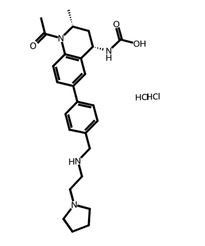 CC(=O)N1c2ccc(-c3ccc(CNCCN4CCCC4)cc3)cc2[C@@H](NC(=O)O)C[C@H]1C.Cl.Cl